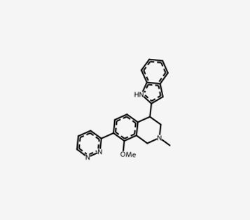 COc1c(-c2cccnn2)ccc2c1CN(C)CC2c1cc2ccccc2[nH]1